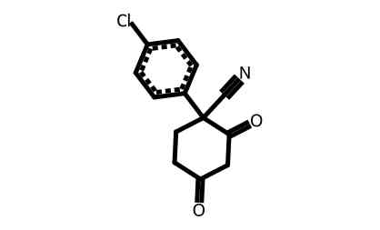 N#CC1(c2ccc(Cl)cc2)CCC(=O)CC1=O